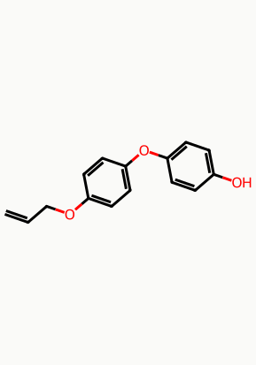 C=CCOc1ccc(Oc2ccc(O)cc2)cc1